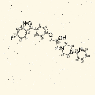 O[C@H](COc1ccc(-c2onc3cc(F)ccc23)cc1)CN1CCN(c2ccccn2)CC1